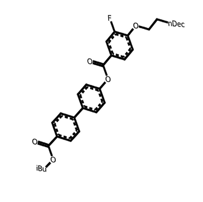 CCCCCCCCCCCCOc1ccc(C(=O)Oc2ccc(-c3ccc(C(=O)OC(C)CC)cc3)cc2)cc1F